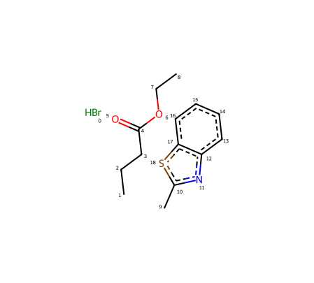 Br.CCCC(=O)OCC.Cc1nc2ccccc2s1